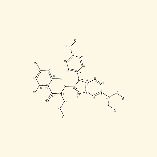 CCCN(Cc1nc2cc(N(CC)CC)ccc2n1-c1ccc(OC)cc1)C(=O)c1c(C)cc(C)cc1C